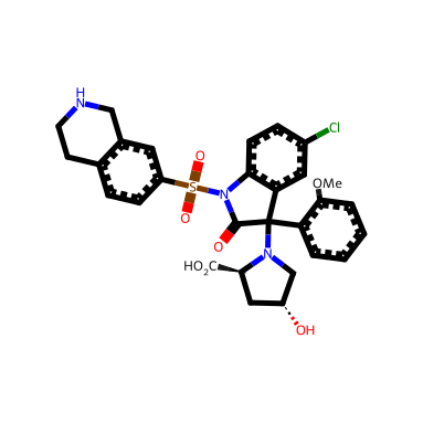 COc1ccccc1C1(N2C[C@H](O)C[C@H]2C(=O)O)C(=O)N(S(=O)(=O)c2ccc3c(c2)CNCC3)c2ccc(Cl)cc21